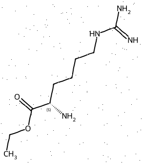 CCOC(=O)[C@@H](N)CCCCNC(=N)N